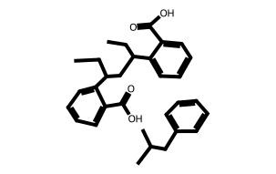 CC(C)Cc1ccccc1.CCC(CC(CC)c1ccccc1C(=O)O)c1ccccc1C(=O)O